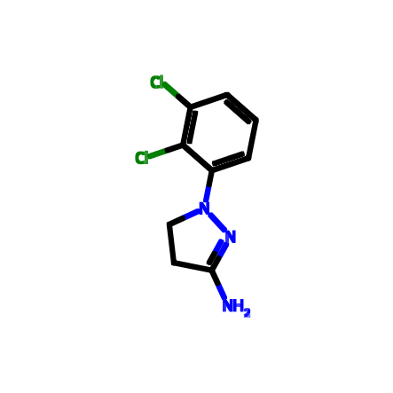 NC1=NN(c2cccc(Cl)c2Cl)CC1